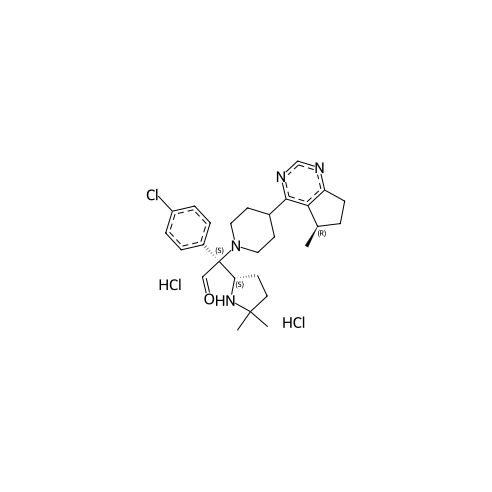 C[C@@H]1CCc2ncnc(C3CCN([C@@](C=O)(c4ccc(Cl)cc4)[C@@H]4CCC(C)(C)N4)CC3)c21.Cl.Cl